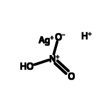 O=[N+]([O-])O.[Ag+].[H+]